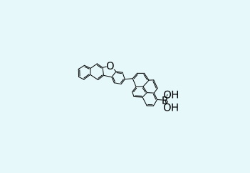 OB(O)c1ccc2ccc3c(-c4ccc5c(c4)oc4cc6ccccc6cc45)ccc4ccc1c2c43